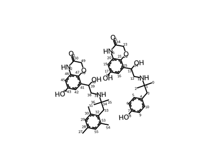 CC(C)(Cc1ccc(O)cc1)NCC(O)c1cc(O)cc2c1OCC(=O)N2.Cc1cc(C)c(CC(C)(C)NCC(O)c2cc(O)cc3c2OCC(=O)N3)c(C)c1